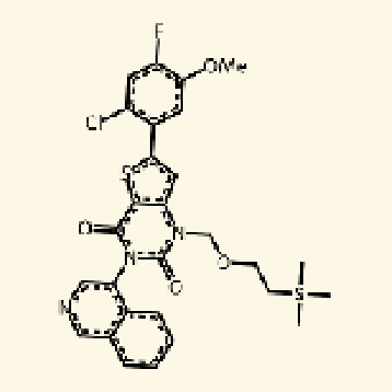 COc1cc(-c2cc3c(s2)c(=O)n(-c2cncc4ccccc24)c(=O)n3COCC[Si](C)(C)C)c(Cl)cc1F